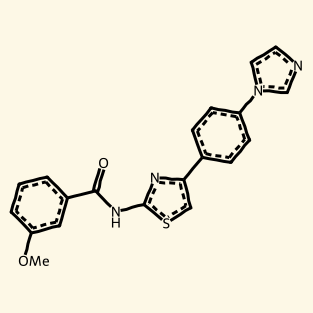 COc1cccc(C(=O)Nc2nc(-c3ccc(-n4ccnc4)cc3)cs2)c1